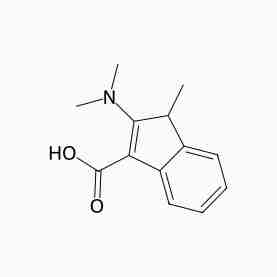 CC1C(N(C)C)=C(C(=O)O)c2ccccc21